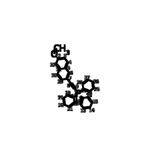 COc1ccc2cc(C#C[PH](c3ccccc3)(c3ccccc3)c3ccccc3)ccc2c1